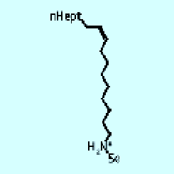 CCCCCCCC/C=C\CCCCCCCC[NH2+][Se-]